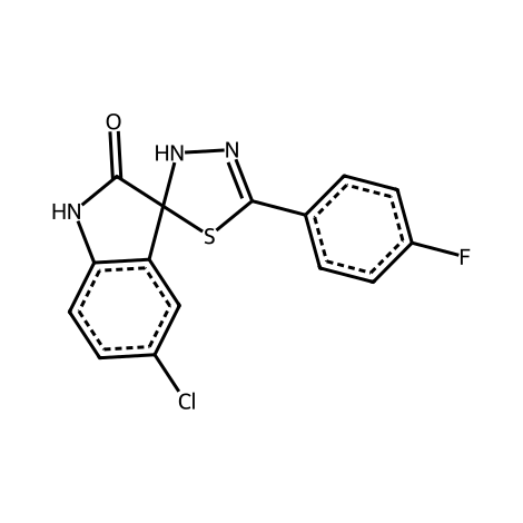 O=C1Nc2ccc(Cl)cc2C12NN=C(c1ccc(F)cc1)S2